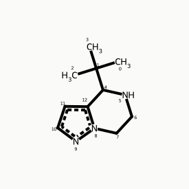 CC(C)(C)C1NCCn2nccc21